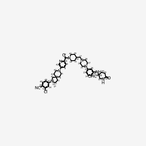 C[C@H]1CC2(CCN(c3ccc(C(=O)N4CCC(CN5CCN(c6cccc(N[C@@]7(C=O)CCC(=O)NC7)c6)CC5)CC4)nc3)CC2)CN1c1ccc(C#N)c(Cl)c1